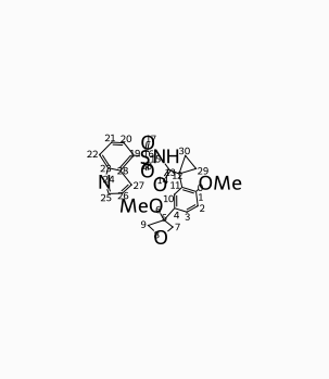 COc1ccc(C2(OC)COC2)cc1C1(C(=O)NS(=O)(=O)c2cccc3ncccc23)CC1